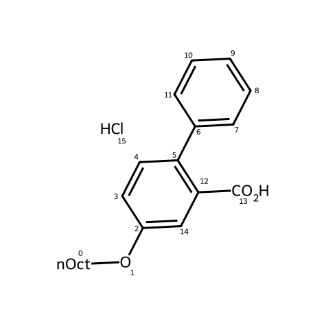 CCCCCCCCOc1ccc(-c2ccccc2)c(C(=O)O)c1.Cl